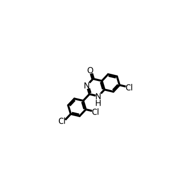 O=c1nc(-c2ccc(Cl)cc2Cl)[nH]c2cc(Cl)ccc12